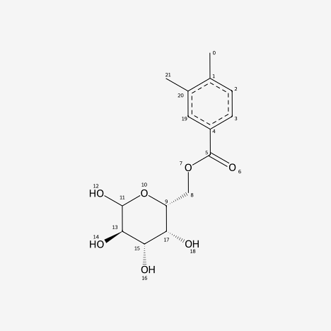 Cc1ccc(C(=O)OC[C@H]2OC(O)[C@H](O)[C@@H](O)[C@H]2O)cc1C